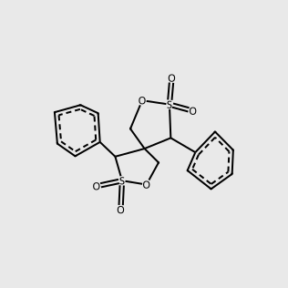 O=S1(=O)OCC2(COS(=O)(=O)C2c2ccccc2)C1c1ccccc1